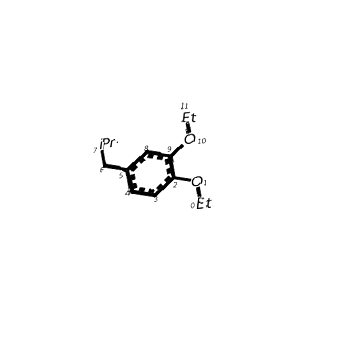 CCOc1ccc(C[C](C)C)cc1OCC